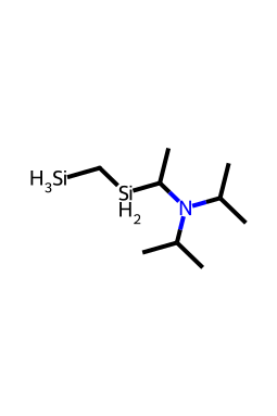 CC(C)N(C(C)C)C(C)[SiH2]C[SiH3]